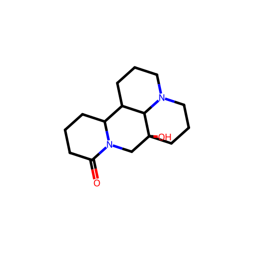 O=C1CCCC2C3CCCN4CCCC(O)(CN12)C34